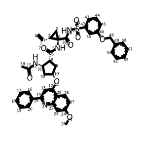 C=C[C@@H]1C[C@]1(NC(=O)[C@@H]1C[C@H](Oc2cc(-c3ccccc3)nc3cc(OC)ccc23)C[C@@H]1NC(C)=O)C(=O)NS(=O)(=O)c1cccc(OCc2ccccc2)c1